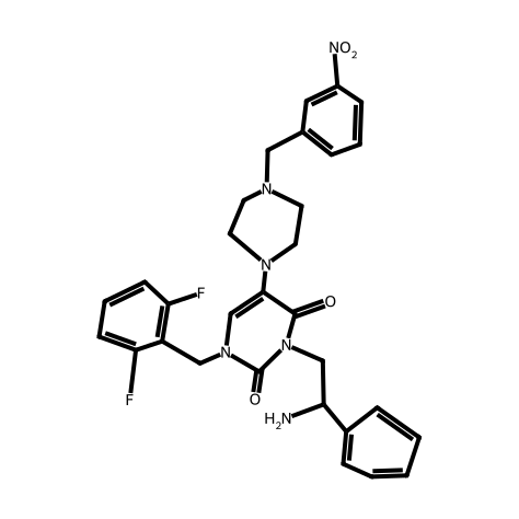 NC(Cn1c(=O)c(N2CCN(Cc3cccc([N+](=O)[O-])c3)CC2)cn(Cc2c(F)cccc2F)c1=O)c1ccccc1